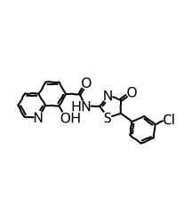 O=C(NC1=NC(=O)C(c2cccc(Cl)c2)S1)c1ccc2cccnc2c1O